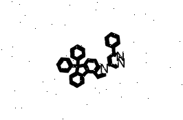 c1ccc(-c2cc(-n3ccc4c5c(ccc43)C(c3ccccc3)(c3ccccc3)c3ccccc3-5)cnn2)cc1